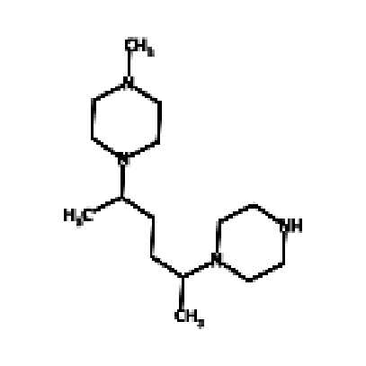 CC(CCC(C)N1CCN(C)CC1)N1CCNCC1